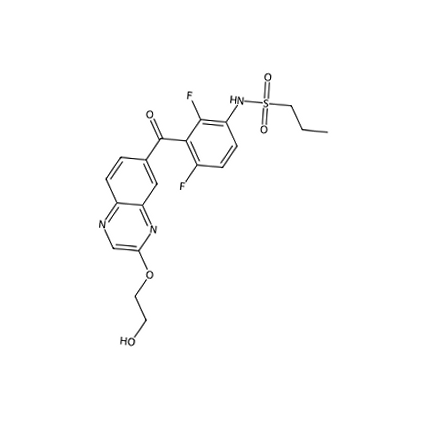 CCCS(=O)(=O)Nc1ccc(F)c(C(=O)c2ccc3ncc(OCCO)nc3c2)c1F